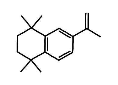 C=C(C)c1ccc2c(c1)C(C)(C)CCC2(C)C